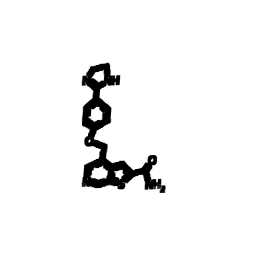 NC(=O)c1cc2c(COc3ccc(C4=NCCN4)cc3)cncc2s1